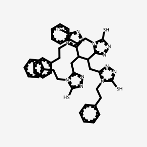 Sc1nnc(CC(c2nnc(S)n2CCc2ccccc2)C(Cc2nnc(S)n2CCc2ccccc2)c2nnc(S)n2CCc2ccccc2)n1CCc1ccccc1